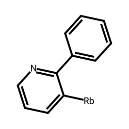 [Rb][c]1cccnc1-c1ccccc1